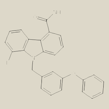 NC(=O)c1cccc2c1c1[c]ccc(F)c1n2Cc1cccc(Oc2ccccc2)c1